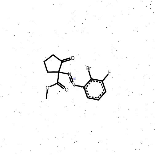 COC(=O)C1(/N=N/c2cccc(F)c2Br)CCCC1=O